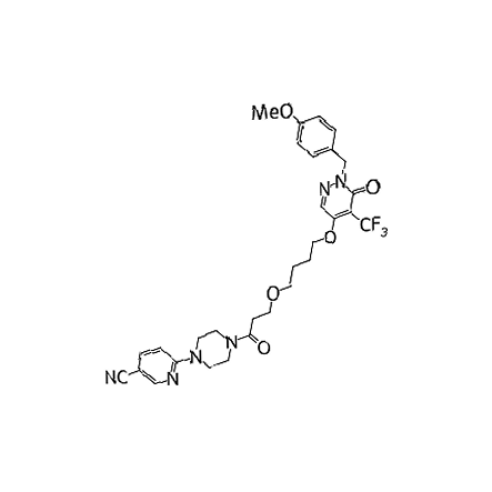 COc1ccc(Cn2ncc(OCCCCOCCC(=O)N3CCN(c4ccc(C#N)cn4)CC3)c(C(F)(F)F)c2=O)cc1